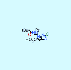 CC(C)C[C@@H](CNC(=O)CC(C)(C)C)n1c(C(=O)O)cc2cnc(Cl)nc21